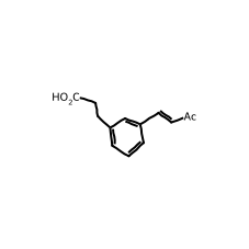 CC(=O)C=Cc1cccc(CCC(=O)O)c1